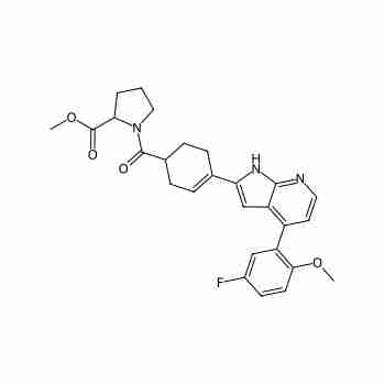 COC(=O)C1CCCN1C(=O)C1CC=C(c2cc3c(-c4cc(F)ccc4OC)ccnc3[nH]2)CC1